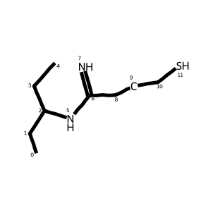 CCC(CC)NC(=N)CCCS